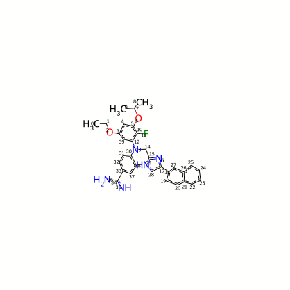 CCOc1cc(OC(C)C)c(F)c(N(Cc2nc(-c3ccc4ccccc4c3)c[nH]2)c2ccc(C(=N)N)cc2)c1